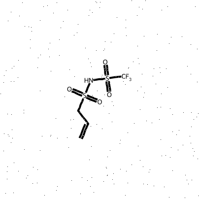 C=CCS(=O)(=O)NS(=O)(=O)C(F)(F)F